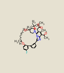 COC(=O)[C@@H](OC(C)(C)C)c1c(C)c(C(C)=O)c2nc3cn2c1N1CCC(C)(CC1)OCCCC[C@H](C)Oc1ccc(F)cc1-c1cccc-3c1